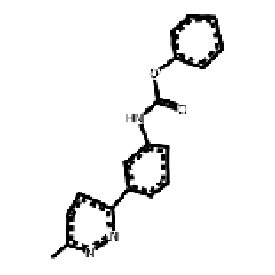 Cc1ccc(-c2cccc(NC(=O)Oc3ccccc3)c2)nn1